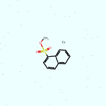 COS(=O)(=O)c1cccc2ccccc12.[Cs]